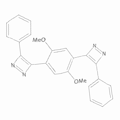 COc1cc(C2=C(c3ccccc3)N=N2)c(OC)cc1C1=C(c2ccccc2)N=N1